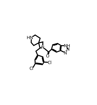 O=C(c1ccc2[nH]nnc2c1)N1CC2(CCNCC2)C1Cc1cc(Cl)cc(Cl)c1